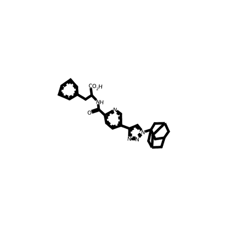 O=C(NC(Cc1ccccc1)C(=O)O)c1ccc(-c2cn(C34CC5CC(CC(C5)C3)C4)nn2)cn1